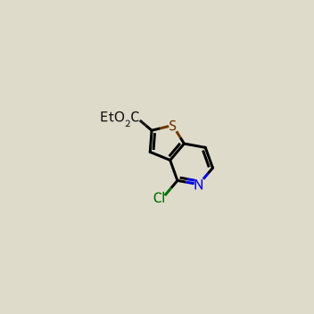 CCOC(=O)c1cc2c(Cl)nccc2s1